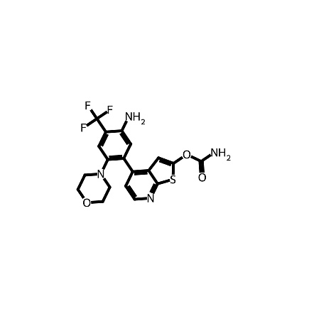 NC(=O)Oc1cc2c(-c3cc(N)c(C(F)(F)F)cc3N3CCOCC3)ccnc2s1